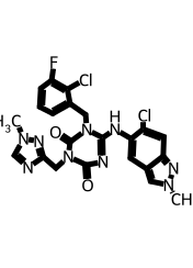 Cn1cnc(Cn2c(=O)nc(Nc3cc4cn(C)nc4cc3Cl)n(Cc3cccc(F)c3Cl)c2=O)n1